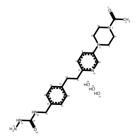 CC(=O)N1CCN(c2ccc(CCc3ccc(CNC(=O)NN)cc3)nc2)CC1.Cl.Cl.Cl